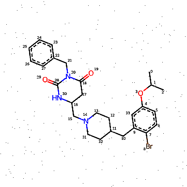 CC(C)Oc1ccc(Br)c(CC2CCN(CC3CC(=O)N(Cc4ccccc4)C(=O)N3)CC2)c1